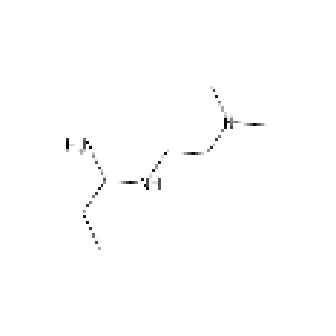 CCC(N)NCCN(C)C